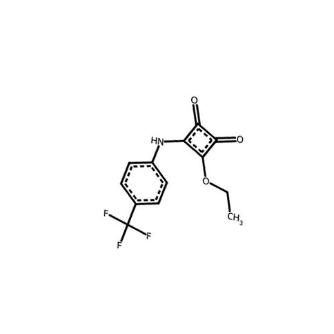 CCOc1c(Nc2ccc(C(F)(F)F)cc2)c(=O)c1=O